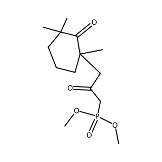 COP(=O)(CC(=O)CC1(C)CCCC(C)(C)C1=O)OC